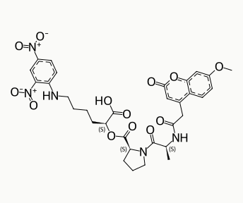 COc1ccc2c(CC(=O)N[C@@H](C)C(=O)N3CCC[C@H]3C(=O)O[C@@H](CCCCNc3ccc([N+](=O)[O-])cc3[N+](=O)[O-])C(=O)O)cc(=O)oc2c1